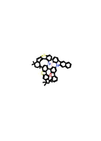 CC1(C)CCC(C)(C)c2cc3c(cc21)sc1c2cc4c(c13)-c1c3c(cc5c1oc1ccccc15)-n1c5cc6ccccc6cc5c5cccc(c51)B3N4c1cccc3sc4cc5c(cc4c13)C2(C)CCC5(C)C